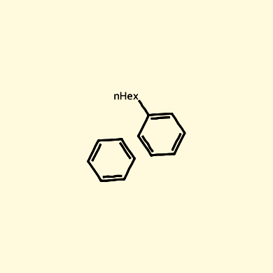 CCCCCCc1ccccc1.c1ccccc1